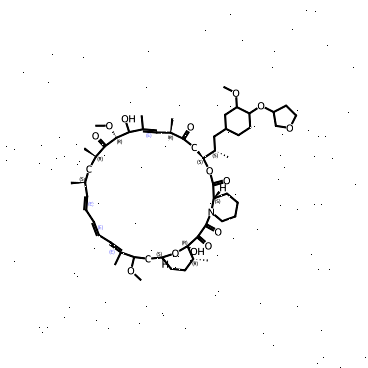 COC1C[C@@H]2CC[C@@H](C)[C@@](O)(O2)C(=O)C(=O)N2CCCC[C@H]2C(=O)O[C@H]([C@@H](C)CC2CCC(OC3CCOC3)C(OC)C2)CC(=O)[C@H](C)/C=C(\C)C(O)[C@@H](OC)C(=O)[C@H](C)C[C@H](C)/C=C/C=C/C=C/1C